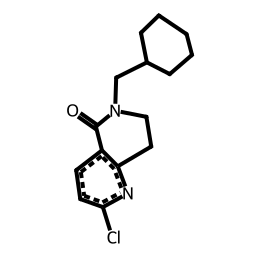 O=C1c2ccc(Cl)nc2CCN1CC1CCCCC1